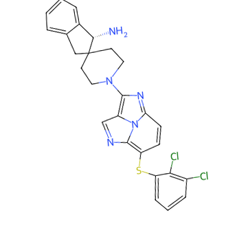 N[C@H]1c2ccccc2CC12CCN(c1nc3ccc(Sc4cccc(Cl)c4Cl)c4ncc1n34)CC2